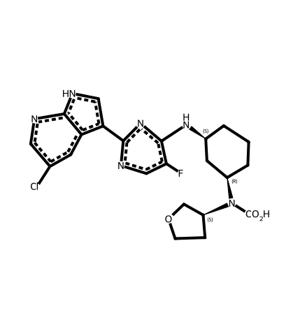 O=C(O)N([C@@H]1CCC[C@H](Nc2nc(-c3c[nH]c4ncc(Cl)cc34)ncc2F)C1)[C@H]1CCOC1